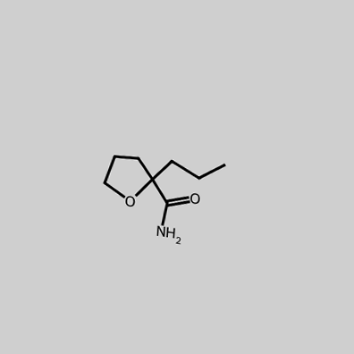 CCCC1(C(N)=O)CCCO1